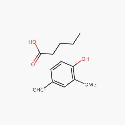 CCCCC(=O)O.COc1cc(C=O)ccc1O